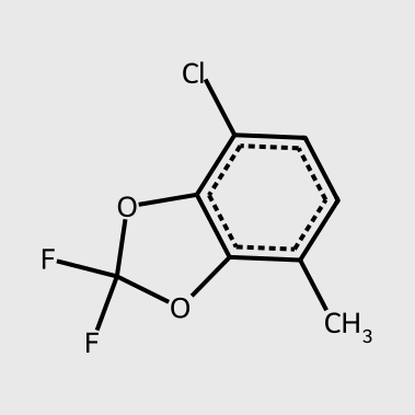 Cc1ccc(Cl)c2c1OC(F)(F)O2